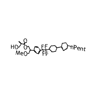 C=C(CO)C(=O)OCC(COC)c1ccc(C(F)(F)C(F)(F)C2CCC(C3CCC(CCCCC)CC3)CC2)cc1